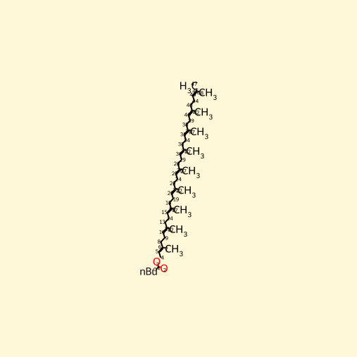 CCCCC(=O)OC/C=C(\C)CC/C=C(\C)CC/C=C(\C)CC/C=C(\C)CC/C=C(\C)CC/C=C(\C)CC/C=C(\C)CC/C=C(\C)CCC=C(C)C